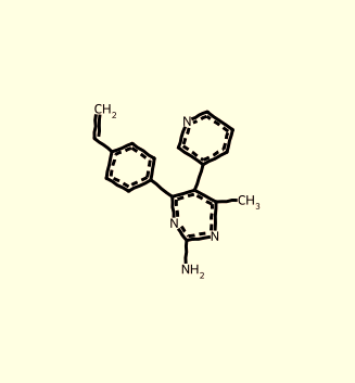 C=Cc1ccc(-c2nc(N)nc(C)c2-c2cccnc2)cc1